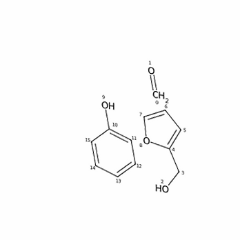 C=O.OCc1ccco1.Oc1ccccc1